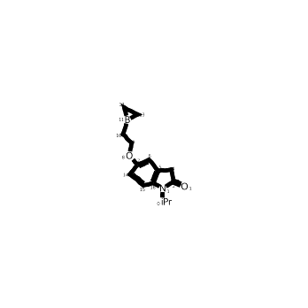 CC(C)N1C(=O)Cc2cc(OCCB3CC3)ccc21